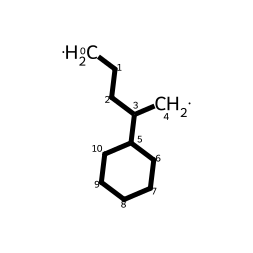 [CH2]CCC([CH2])C1CCCCC1